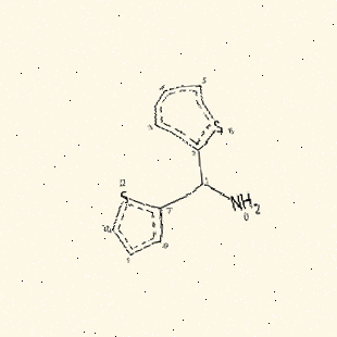 NC(c1cccs1)c1cccs1